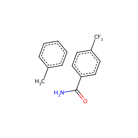 Cc1ccccc1.NC(=O)c1ccc(C(F)(F)F)cc1